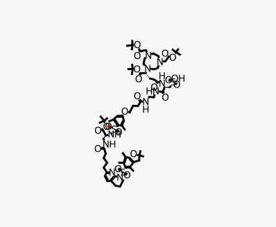 Cc1cc(OCCCC(=O)NCCNC(=O)[C@H](CS(=O)(=O)O)NC(=O)CC[C@H](C(=O)OC(C)(C)C)N2CCN(CC(=O)OC(C)(C)C)CCN(CC(=O)OC(C)(C)C)CC2)cc(C)c1S(=O)(=O)N[C@@H](CNC(=O)CCCCc1ccc2c(n1)N(S(=O)(=O)c1c(C)c(C)c3c(c1C)CC(C)(C)O3)CCC2)C(=O)OC(C)(C)C